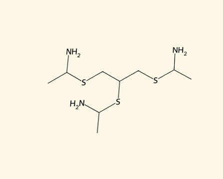 CC(N)SCC(CSC(C)N)SC(C)N